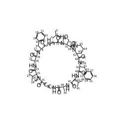 CC(C)C[C@H]1NC(=O)C(Cc2ccccc2)N(C)C(=O)C(C)NC(=O)C(C(C)C)N(C)C(=O)CCNC(=O)C(C)NC(=O)C(C(C)C)NC(=O)C(Cc2ccccc2)N(C)C(=O)C2CCCNN2C(=O)C(CO)N(C)C1=O